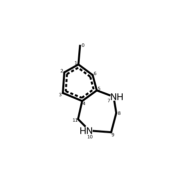 Cc1ccc2c(c1)NCCNC2